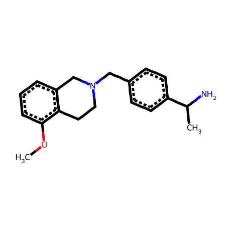 COc1cccc2c1CCN(Cc1ccc(C(C)N)cc1)C2